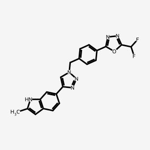 Cc1cc2ccc(-c3cn(Cc4ccc(-c5nnc(C(F)F)o5)cc4)nn3)cc2[nH]1